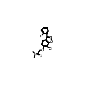 CN(C)C(=O)COc1ccc2c(-c3ccccc3F)noc2c1Cl